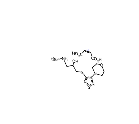 CC(C)(C)NCC(O)CSc1nsnc1N1CCOCC1.O=C(O)/C=C\C(=O)O